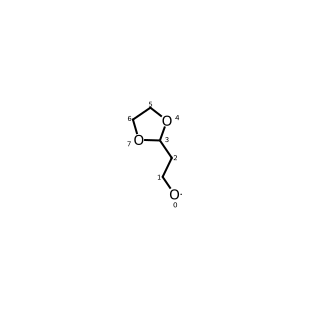 [O]CCC1OCCO1